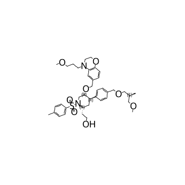 COCCCN1CCOc2ccc(CO[C@H]3CN(S(=O)(=O)c4ccc(C)cc4)[C@@H](CCO)C[C@@H]3c3ccc(COC[C@@H](C)COC)cc3)cc21